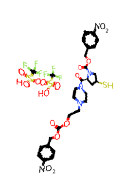 O=C(OCCN1CCN(C(=O)[C@@H]2C[C@H](S)CN2C(=O)OCc2ccc([N+](=O)[O-])cc2)CC1)OCc1ccc([N+](=O)[O-])cc1.O=S(=O)(O)C(F)(F)F.O=S(=O)(O)C(F)(F)F